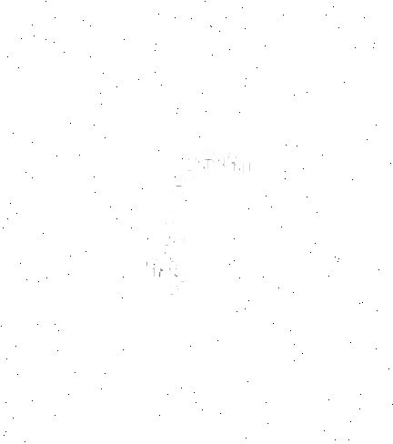 O=C(CN1Cc2ccccc2[C@@H]2OC(c3ccccc3)=N[C@]2(Cc2ccccc2)C1=O)NCCOCCOCc1ccc(-c2ccc(C(=O)Nc3cccc4c3CN(C3CCC(=O)NC3=O)C4=O)cc2)cc1